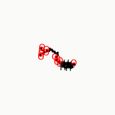 CC(=O)OCC(COC(C)=O)OC(=O)CC(C)CCCCC(C)CC(=O)OC(C)OC(=O)O[C@@H]1CC[C@@]2(C)[C@@H](CC[C@@H]3[C@@H]2CC[C@]2(C)[C@@H](C(C)=O)CC[C@@H]32)C1